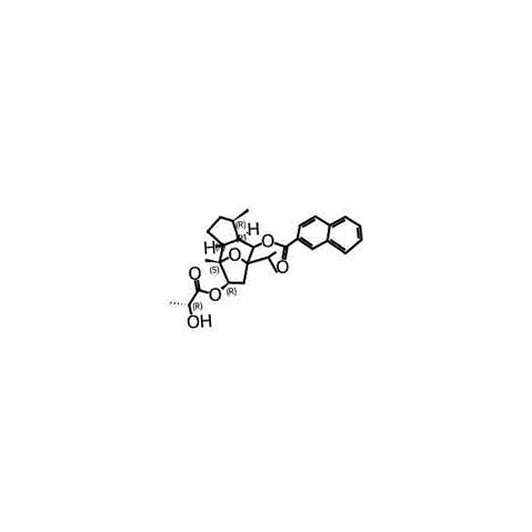 CC(C)C12C[C@@H](OC(=O)[C@@H](C)O)[C@@](C)(O1)[C@@H]1CC[C@@H](C)[C@H]1C2OC(=O)c1ccc2ccccc2c1